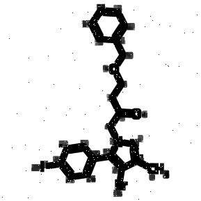 Cc1nn(CC(=O)CCOCc2ccccc2)c(-c2ccc(F)cc2)c1Br